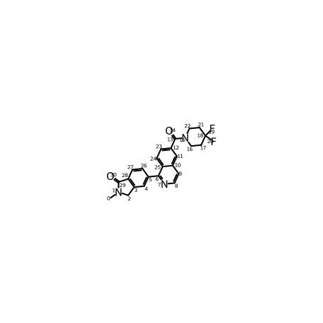 CN1Cc2cc(-c3nccc4cc(C(=O)N5CCC(F)(F)CC5)ccc34)ccc2C1=O